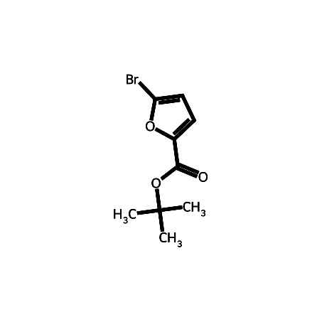 CC(C)(C)OC(=O)c1ccc(Br)o1